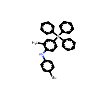 Cc1cc([Si](c2ccccc2)(c2ccccc2)c2ccccc2)ccc1Nc1ccc(C(C)(C)C)cc1